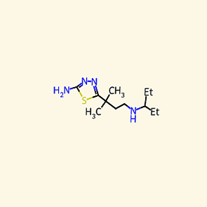 CCC(CC)NCCC(C)(C)c1nnc(N)s1